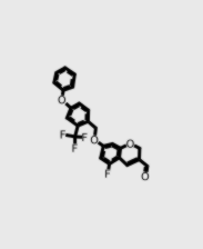 O=CC1=Cc2c(F)cc(OCc3ccc(Oc4ccccc4)cc3C(F)(F)F)cc2OC1